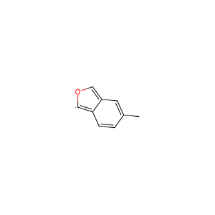 Cc1ccc2[c]occ2c1